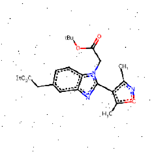 CCOC(=O)Cc1ccc2c(c1)nc(-c1c(C)noc1C)n2CC(=O)OC(C)(C)C